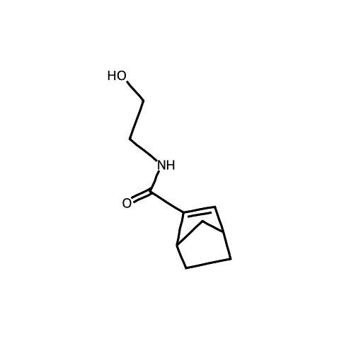 O=C(NCCO)C1=CC2CCC1C2